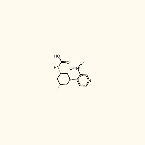 C[C@@H]1C[C@H](NC(=O)O)CN(c2ccncc2[N+](=O)[O-])C1